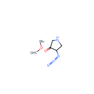 CC(C)(C)OC=O.[N-]=[N+]=NC1CNCC1=O